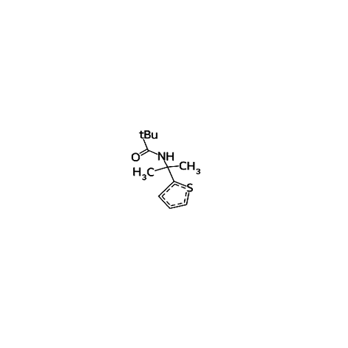 CC(C)(C)C(=O)NC(C)(C)c1cccs1